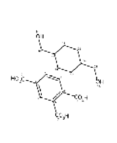 O=C(O)c1ccc(C(=O)O)c(C(=O)O)c1.OCC1CCC(CO)CC1